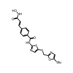 CC(C)(C)c1cnc(CSc2cnc(NC(=O)c3ccc(C=CC(=O)NO)cc3)s2)o1